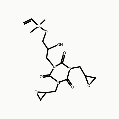 C=C[Si](C)(C)OCC(O)Cn1c(=O)n(CC2CO2)c(=O)n(CC2CO2)c1=O